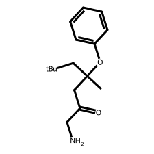 CC(C)(C)CC(C)(CC(=O)CN)Oc1ccccc1